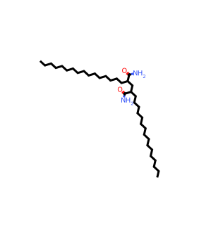 CCCCCCCCCCCCCCCCC(CC(CCCCCCCCCCCCCCCC)C(N)=O)C(N)=O